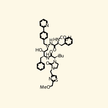 CC[C@H](C)[C@@H](C(=O)N[C@@H](Cc1ccccc1)[C@@H](O)CN(Cc1ccc(-c2ccccn2)cc1)NC(=O)[C@H](Cc1ccccc1)NC(=O)O)N1CCN(Cc2csc(COC)n2)C1=O